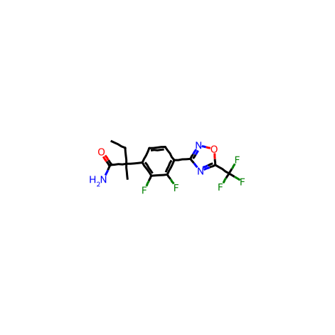 CCC(C)(C(N)=O)c1ccc(-c2noc(C(F)(F)F)n2)c(F)c1F